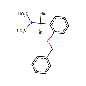 CC(C)(C)C(c1ccccc1OCc1ccccc1)(N(C(=O)O)C(=O)O)C(C)(C)C